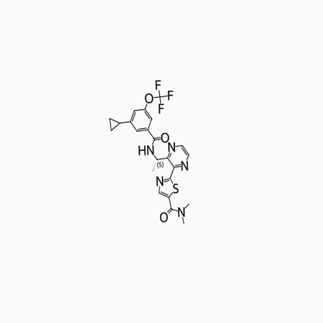 C[C@H](NC(=O)c1cc(OC(F)(F)F)cc(C2CC2)c1)c1nccnc1-c1ncc(C(=O)N(C)C)s1